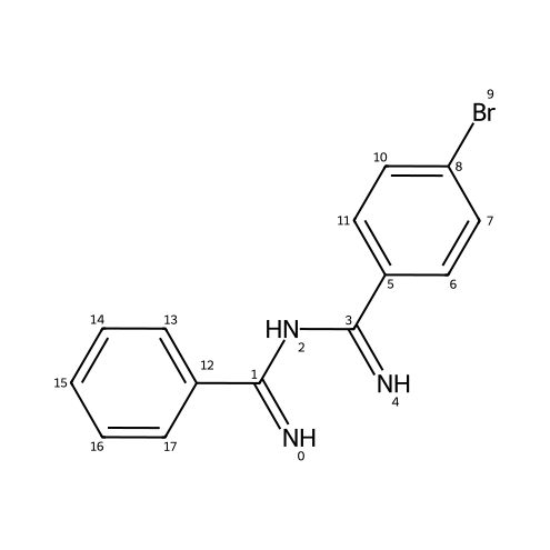 N=C(NC(=N)c1ccc(Br)cc1)c1ccccc1